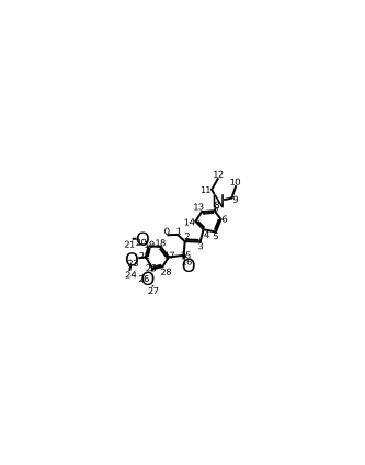 CC/C(=C\c1ccc(N(CC)CC)cc1)C(=O)c1cc(OC)c(OC)c(OC)c1